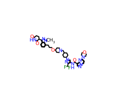 Cn1nc(C2CCC(=O)NC2=O)c2cccc(CCCOC3CCN(CC4CCC(n5cc(NC(=O)c6cnn7ccc(N8CCOCC8)nc67)c(C(F)F)n5)CC4)CC3)c21